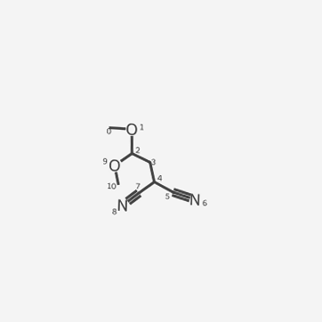 COC(CC(C#N)C#N)OC